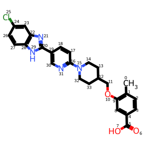 Cc1ccc(C(=O)O)cc1OCC1CCN(c2ccc(-c3nc4cc(Cl)ccc4[nH]3)cn2)CC1